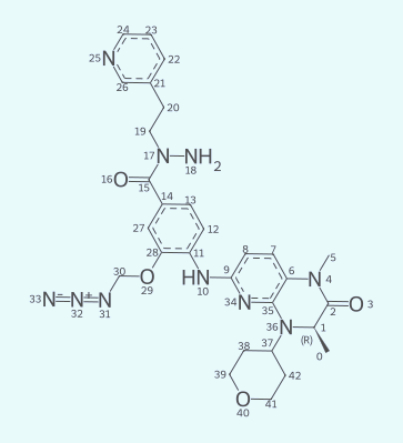 C[C@@H]1C(=O)N(C)c2ccc(Nc3ccc(C(=O)N(N)CCc4cccnc4)cc3OCN=[N+]=[N-])nc2N1C1CCOCC1